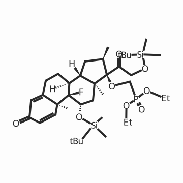 CCOP(=O)(CO[C@]1(C(=O)CO[Si](C)(C)C(C)(C)C)[C@H](C)C[C@H]2[C@@H]3CCC4=CC(=O)C=C[C@]4(C)[C@@]3(F)[C@@H](O[Si](C)(C)C(C)(C)C)C[C@@]21C)OCC